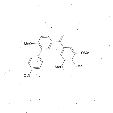 C=C(c1cc(OC)c(OC)c(OC)c1)c1ccc(OC)c(-c2ccc([N+](=O)[O-])cc2)c1